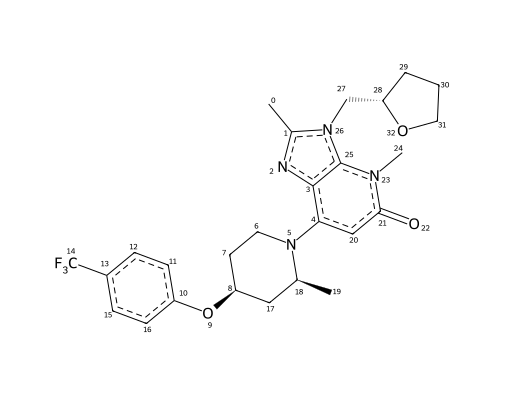 Cc1nc2c(N3CC[C@H](Oc4ccc(C(F)(F)F)cc4)C[C@@H]3C)cc(=O)n(C)c2n1C[C@@H]1CCCO1